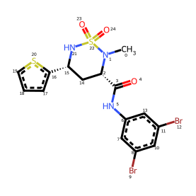 CN1[C@H](C(=O)Nc2cc(Br)cc(Br)c2)C[C@H](c2cccs2)NS1(=O)=O